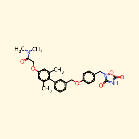 Cc1cc(OCC(=O)N(C)C)cc(C)c1-c1cccc(COc2ccc(Cn3oc(=O)[nH]c3=O)cc2)c1